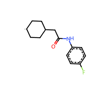 O=C(CC1CC[CH]CC1)Nc1ccc(F)cc1